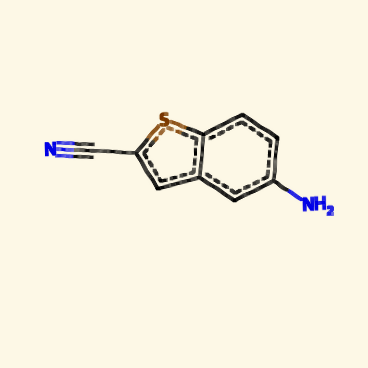 N#Cc1cc2cc(N)ccc2s1